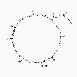 CCCCCCCCC1CCCCCC(CCC)CCCCC(CCCCCC)COC(=O)CCCCCC(=O)OCCCN(C(=O)CCN(C)CCO)CCCOC(=O)CCCCCC(=O)OC1